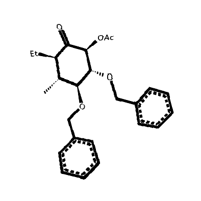 CC[C@H]1C(=O)[C@@H](OC(C)=O)[C@H](OCc2ccccc2)[C@@H](OCc2ccccc2)[C@@H]1C